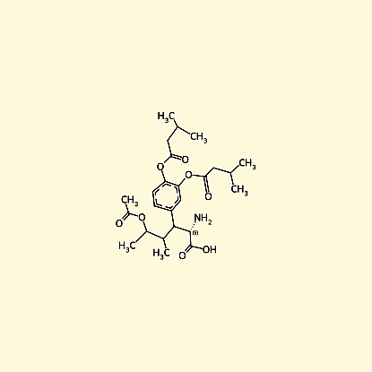 CC(=O)OC(C)C(C)C(c1ccc(OC(=O)CC(C)C)c(OC(=O)CC(C)C)c1)[C@H](N)C(=O)O